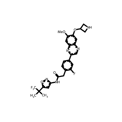 COc1cc2nc(-c3ccc(CC(=O)Nc4cc(C(C)(C)C(F)(F)F)on4)c(F)c3)cnc2cc1OC1CNC1